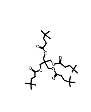 CC(C)(C)CCC(=O)OCC(COC(=O)CCC(C)(C)C)(COC(=O)CCC(C)(C)C)COC(=O)CCC(C)(C)C